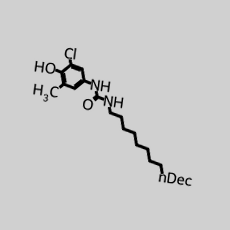 CCCCCCCCCCCCCCCCCCNC(=O)Nc1cc(C)c(O)c(Cl)c1